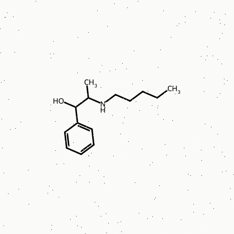 CCCCCNC(C)C(O)c1ccccc1